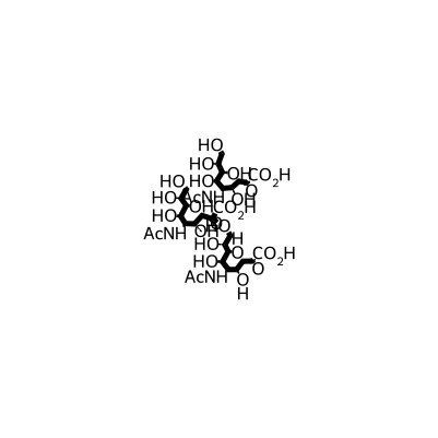 CC(=O)N[C@@H]([C@@H](O)[C@H](O)[C@H](O)CO)[C@@H](O)CC(=O)C(=O)O.CC(=O)N[C@@H]([C@@H](O)[C@H](O)[C@H](O)CO)[C@@H](O)CC(=O)C(=O)O.CC(=O)N[C@@H]([C@@H](O)[C@H](O)[C@H](O)CO)[C@@H](O)CC(=O)C(=O)O